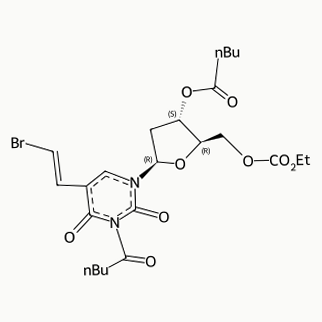 CCCCC(=O)O[C@H]1C[C@H](n2cc(C=CBr)c(=O)n(C(=O)CCCC)c2=O)O[C@@H]1COC(=O)OCC